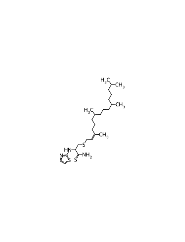 CC(=CCSCC(Nc1nccs1)C(N)=S)CCCC(C)CCCC(C)CCCC(C)C